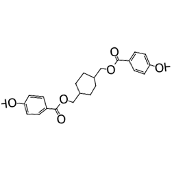 O=C(OCC1CCC(COC(=O)c2ccc(O)cc2)CC1)c1ccc(O)cc1